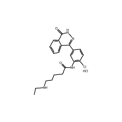 CCNCCCCC(=O)Nc1cc(-c2n[nH]c(=O)c3ccccc23)ccc1Cl.Cl